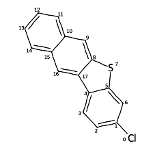 Clc1ccc2c(c1)sc1cc3ccccc3cc12